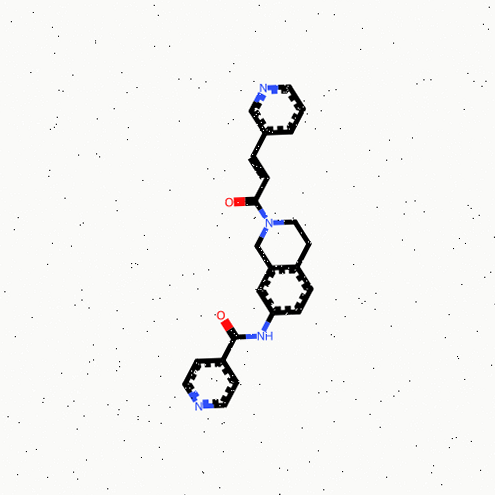 O=C(Nc1ccc2c(c1)CN(C(=O)C=Cc1cccnc1)CC2)c1ccncc1